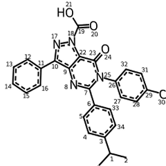 CC(C)c1ccc(-c2nc3c(-c4ccccc4)nn(C(=O)O)c3c(=O)n2-c2ccc(Cl)cc2)cc1